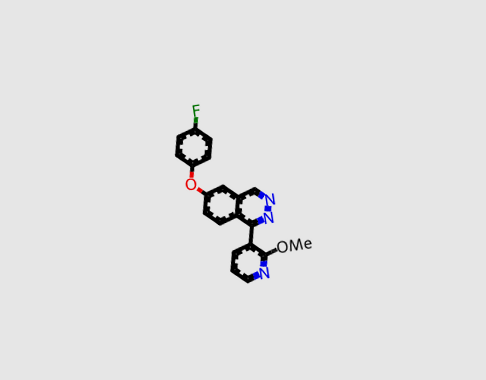 COc1ncccc1-c1nncc2cc(Oc3ccc(F)cc3)ccc12